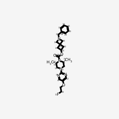 C[C@@H]1CN(c2ncc(OCCF)cn2)C[C@H](C)N1C(=O)OC1CC2(C1)CN(Cc1ccccc1)C2